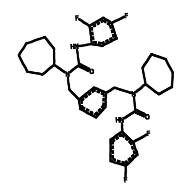 O=C(Nc1ccc(F)cc1F)N(Cc1cccc(CN(C(=O)Nc2ccc(F)cc2F)C2CCCCCC2)c1)C1CCCCCC1